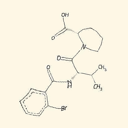 CC(C)[C@H](NC(=O)c1ccccc1Br)C(=O)N1CCC[C@H]1C(=O)O